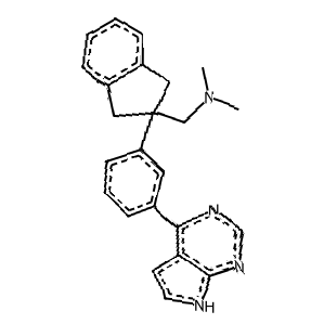 CN(C)CC1(c2cccc(-c3ncnc4[nH]ccc34)c2)Cc2ccccc2C1